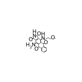 COCCCNc1c2c(=O)[nH]c(=O)c2c(N)c2c(=O)c3ccccc3c(=O)c12